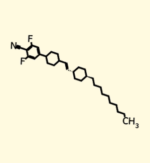 CCCCCCCCCC[C@H]1CC[C@H](/C=C/C2CCC(c3cc(F)c(C#N)c(F)c3)CC2)CC1